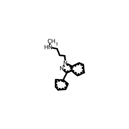 CNCCCn1nc(-c2ccccc2)c2ccccc21